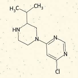 CC(C)C1CN(c2cc(Cl)ncn2)CCN1